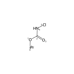 CC(C)OC(=O)NCl